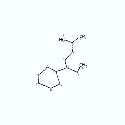 CCC(CCC(C)O)C1CCCCC1